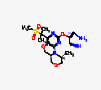 C[C@@H]1COCC2COc3c(nc(O/C(C=N)=C/N)nc3C(C)(C)S(C)(=O)=O)N21